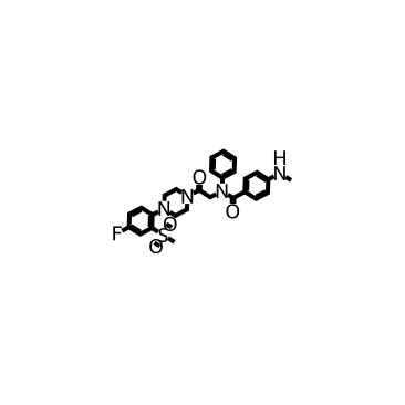 CNc1ccc(C(=O)N(CC(=O)N2CCN(c3ccc(F)cc3S(C)(=O)=O)CC2)c2ccccc2)cc1